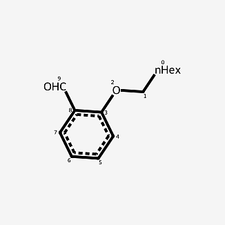 CCCCCCCOc1ccccc1C=O